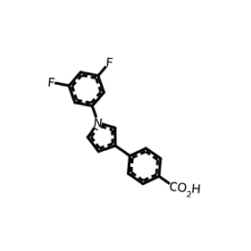 O=C(O)c1ccc(-c2ccn(-c3cc(F)cc(F)c3)c2)cc1